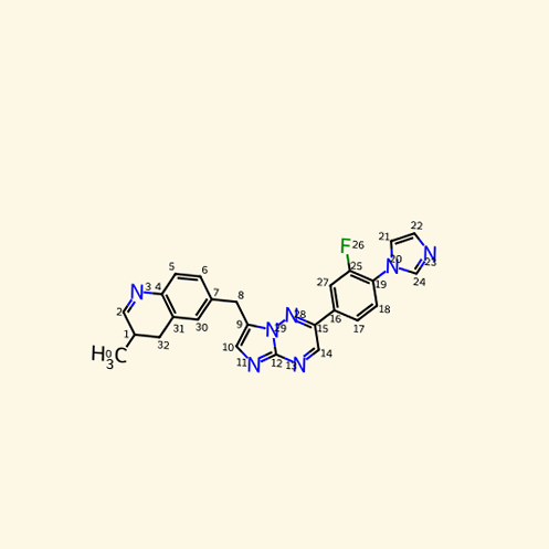 CC1C=Nc2ccc(Cc3cnc4ncc(-c5ccc(-n6ccnc6)c(F)c5)nn34)cc2C1